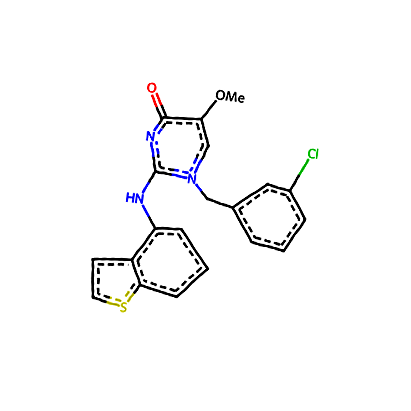 COc1cn(Cc2cccc(Cl)c2)c(Nc2cccc3sccc23)nc1=O